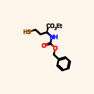 CCOC(=O)[C@H](CCS)NC(=O)OCc1ccccc1